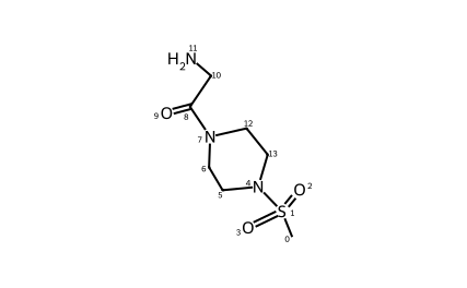 CS(=O)(=O)N1CCN(C(=O)CN)CC1